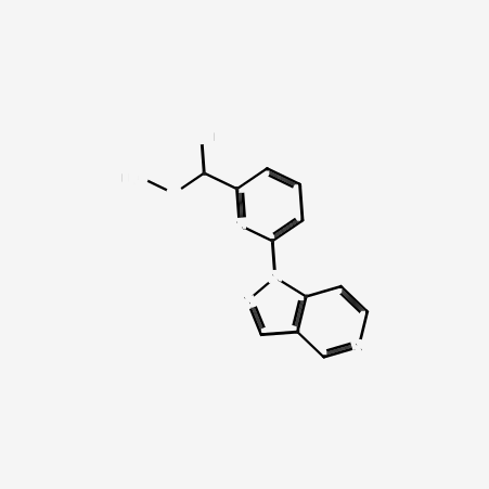 COC(C)c1cccc(-n2ncc3cnccc32)n1